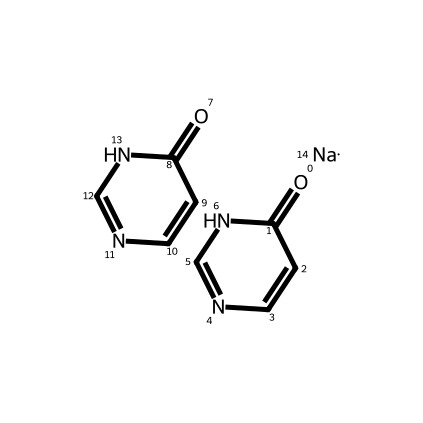 O=c1ccnc[nH]1.O=c1ccnc[nH]1.[Na]